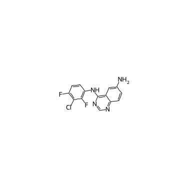 Nc1ccc2ncnc(Nc3ccc(F)c(Cl)c3F)c2c1